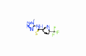 Cn1nnnc1NC(=S)c1ccc(C(F)(F)F)nc1